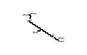 CCCCCC(CCCCC)CCOC(=O)CCCCCCCCC(CCCCCCCCC(=O)OCCC(CCCCC)CCCCC)CCNC